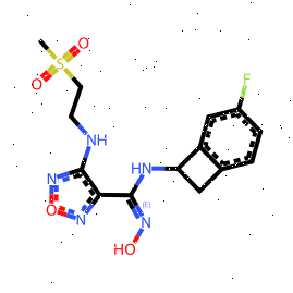 CS(=O)(=O)CCNc1nonc1/C(=N\O)NC1Cc2ccc(F)cc21